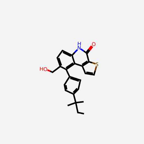 CCC(C)(C)c1ccc(-c2c(CO)ccc3[nH]c(=O)c4sccc4c23)cc1